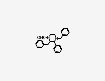 O=CN1CCN(Cc2ccccc2)C(c2ccccc2)C1Cc1ccccc1